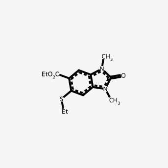 CCOC(=O)c1cc2c(cc1SCC)n(C)c(=O)n2C